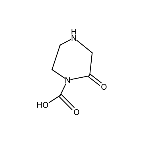 O=C(O)N1CCNCC1=O